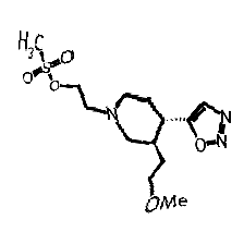 COCC[C@H]1CN(CCOS(C)(=O)=O)CC[C@@H]1c1cnno1